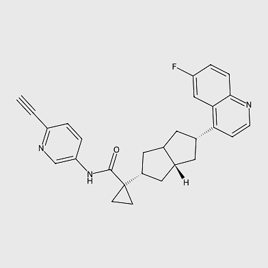 C#Cc1ccc(NC(=O)C2([C@@H]3CC4C[C@H](c5ccnc6ccc(F)cc56)C[C@@H]4C3)CC2)cn1